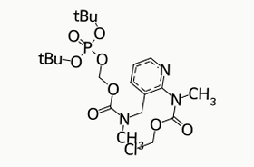 CN(Cc1cccnc1N(C)C(=O)OCCl)C(=O)OCOP(=O)(OC(C)(C)C)OC(C)(C)C